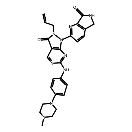 C=CCn1c(=O)c2cnc(Nc3ccc(N4CCN(C)CC4)cc3)nc2n1-c1ccc2c(n1)C(=O)NC2